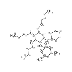 CCCCOCC1OC(OC2CCCCC2)C(OP2(=O)O[C@H](C)C[C@@H](C)O2)C(OCCCC)C1OCCCC